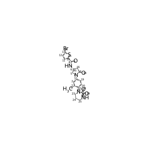 Cc1cc(N2C[C@H](NC(=O)c3ccc(Br)s3)CC2=O)ccc1N1CCCNS1(=O)=O